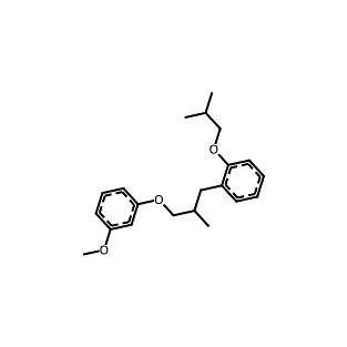 COc1cccc(OCC(C)Cc2ccccc2OCC(C)C)c1